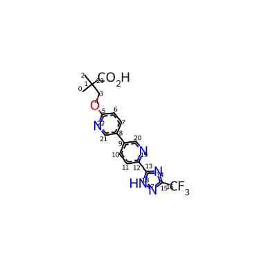 CC(C)(COc1ccc(-c2ccc(-c3nc(C(F)(F)F)n[nH]3)nc2)cn1)C(=O)O